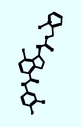 O=C(N[C@H]1CCc2c(C(=O)Nc3ccc(F)c(Cl)c3)ccc(F)c21)OCc1cccc[n+]1[O-]